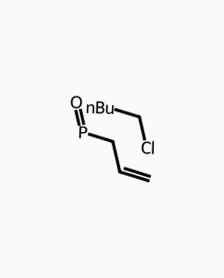 C=CCP=O.CCCCCCl